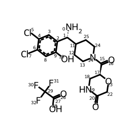 N[C@@H](c1cc(Cl)c(Cl)cc1O)C1CCN(C(=O)[C@@H]2CNC(=O)CO2)CC1.O=C(O)C(F)(F)F